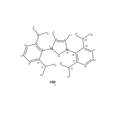 Br.CC1=C(C)N(c2c(C(C)C)cccc2C(C)C)CN1c1c(C(C)C)cccc1C(C)C